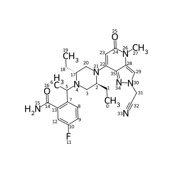 CC[C@H]1CN(C(C)c2ccc(F)cc2C(N)=O)[C@H](CC)CN1c1cc(=O)n(C)c2cn(CC#N)nc12